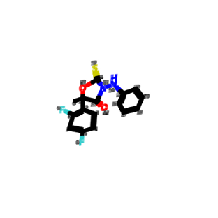 CC1(c2ccc(F)cc2F)OC(=S)N(Nc2ccccc2)C1=O